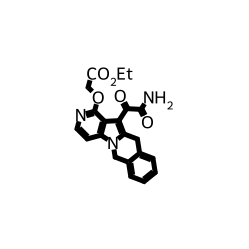 CCOC(=O)COc1nccc2c1c(C(=O)C(N)=O)c1n2Cc2ccccc2C1